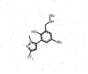 Cn1nc(C(F)(F)F)cc1-c1cc(C(C)(C)C)cc(CNC(C)(C)C)c1O